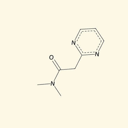 CN(C)C(=O)Cc1ncccn1